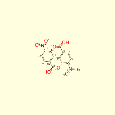 O=C(O)c1ccc([N+](=O)[O-])cc1-c1cc([N+](=O)[O-])ccc1C(=O)O